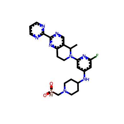 CC1c2cnc(-c3ncccn3)nc2CCN1c1cc(NC2CCN(C[SH](=O)=O)CC2)cc(F)n1